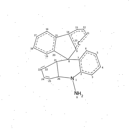 NN1c2ccccc2C2(c3ccccc3-c3ccccc32)C2C=CC=CC21